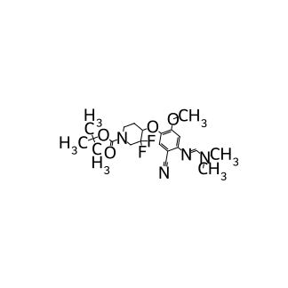 COc1cc(N=CN(C)C)c(C#N)cc1OC1CCN(C(=O)OC(C)(C)C)CC1(F)F